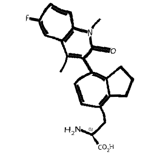 Cc1c(-c2ccc(C[C@H](N)C(=O)O)c3c2CCC3)c(=O)n(C)c2ccc(F)cc12